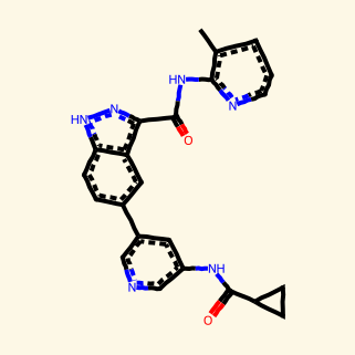 Cc1cccnc1NC(=O)c1n[nH]c2ccc(-c3cncc(NC(=O)C4CC4)c3)cc12